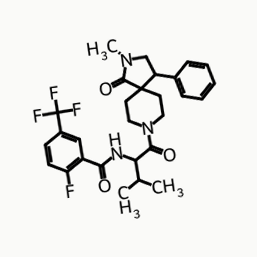 CC(C)C(NC(=O)c1cc(C(F)(F)F)ccc1F)C(=O)N1CCC2(CC1)C(=O)N(C)CC2c1ccccc1